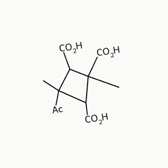 CC(=O)C1(C)C(C(=O)O)C(C)(C(=O)O)C1C(=O)O